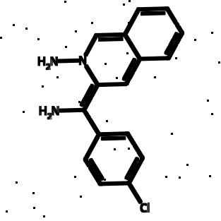 N/C(=C1/C=c2ccccc2=CN1N)c1ccc(Cl)cc1